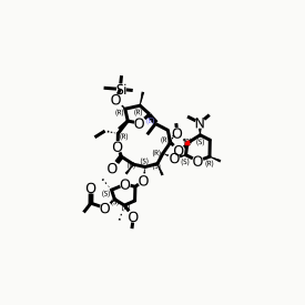 CC[C@H]1OC(=O)[C@H](C)[C@@H](OC2C[C@@](C)(OC)[C@@H](OC(C)=O)[C@H](C)O2)[C@H](C)[C@@H](O[C@@H]2O[C@H](C)C[C@H](N(C)C)[C@H]2OC)[C@](C)(OC)C/C(C)=C2/OC1(C)[C@H](O[Si](C)(C)C)[C@H]2C